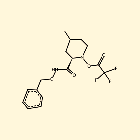 CC1CCN(OC(=O)C(F)(F)F)[C@@H](C(=O)NOCc2ccccc2)C1